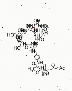 CC[C@H](C)C1NC(=O)CNC(=O)C2NC(=O)[C@H]([C@@H](C)[C@@H](O)CO)NC(=O)[C@@H]3C[C@@H](O)CN3C(=O)C(CC(=O)NCc3ccc(NC(=O)[C@H](C)NC(=O)C(NC(=O)CCC(=O)CCC(C)=O)C(C)C)cc3)NC(=O)C(CSc3[nH]c4cc(O)ccc4c32)NC(=O)CNC1=O